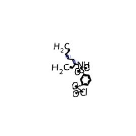 C=C/C=C\C=C(/C=C)NS(=O)(=O)c1cccc(S(=O)(=O)Cl)c1